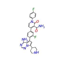 NC(=O)c1c(-c2ccc(-c3cc(C4CCNCC4)n4ncnc(N)c34)c(F)c2)ccn(-c2ccc(F)cc2)c1=O